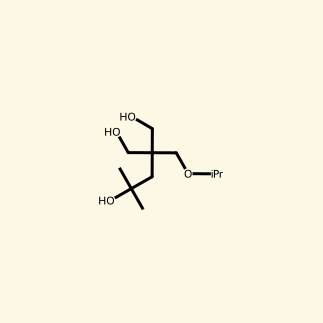 CC(C)OCC(CO)(CO)CC(C)(C)O